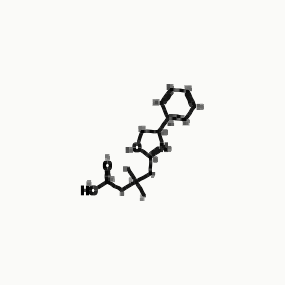 CC(C)(CC(=O)O)CC1=NC(c2ccccc2)CO1